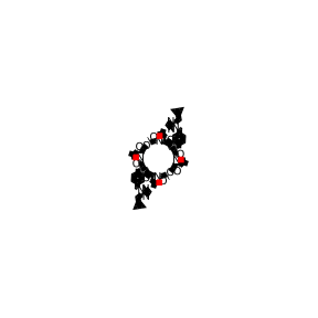 CC(C)C[C@H]1C(=O)O[C@H](Cc2ccc(Cn3ncnc3CC3CC3)cc2)C(=O)N(C)[C@@H](CC(C)C)C(=O)O[C@H](C)C(=O)N(C)[C@@H](CC(C)C)C(=O)O[C@H](Cc2ccc(Cn3ncnc3CC3CC3)cc2)C(=O)N(C)[C@@H](CC(C)C)C(=O)O[C@H](C)C(=O)N1C